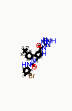 Cc1ccc(NC(=O)N(Cc2ccc(C(=O)Nc3nn[nH]n3)cc2)C2CCC(C(C)(C)C)CC2)cc1Br